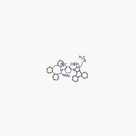 C=NCCc1c(C)n(C2=C(C#N)C(C)=C(N3c4ccccc4Cc4ccccc4-c4ccccc4C3NC)CC2)c2c3ccccc3c3ccccc3c12